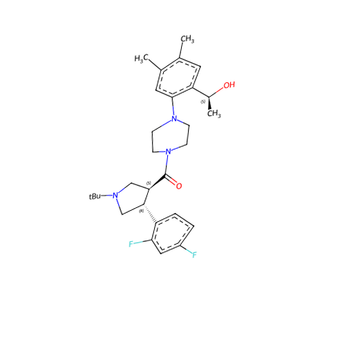 Cc1cc([C@H](C)O)c(N2CCN(C(=O)[C@@H]3CN(C(C)(C)C)C[C@H]3c3ccc(F)cc3F)CC2)cc1C